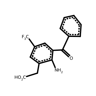 Nc1c(CC(=O)O)cc(C(F)(F)F)cc1C(=O)c1ccccc1